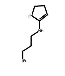 CC(C)CCCNC1=CCCN1